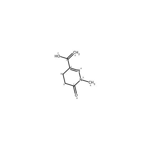 C=C(O)C1=NN(C)C(=O)CC1